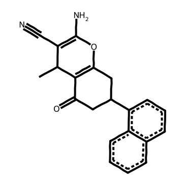 CC1C(C#N)=C(N)OC2=C1C(=O)CC(c1cccc3ccccc13)C2